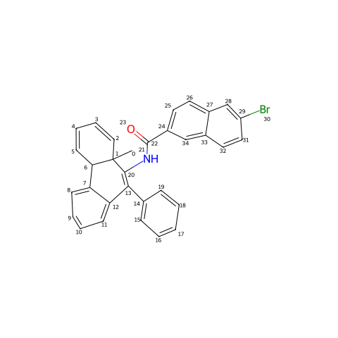 CC12C=CC=CC1c1ccccc1C(c1ccccc1)=C2NC(=O)c1ccc2cc(Br)ccc2c1